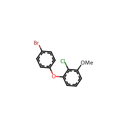 COc1cccc(Oc2ccc(Br)cc2)c1Cl